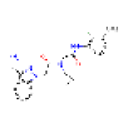 COc1cccc(NC(=O)CN(C(=O)Cn2nc(CN)c3ccccc32)C2CC2)c1F